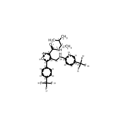 CC(C)[C@H](C)NC(=O)c1noc(-c2ccc(C(F)(F)F)cc2)c1CNc1ccc(C(F)(F)F)cn1